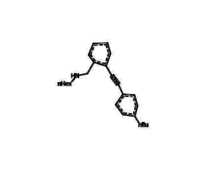 CCCCCCNCc1ccccc1C#Cc1ccc(CCCC)cc1